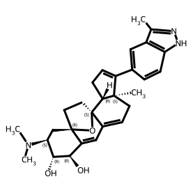 Cc1n[nH]c2ccc(C3=CC[C@@H]4[C@]3(C)CC=C3C=C5[C@@H](O)[C@H](O)[C@@H](N(C)C)C[C@]56CC[C@@]34O6)cc12